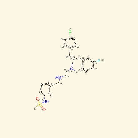 CS(=O)(=O)Nc1cccc(CNCCN2Cc3ccc(F)cc3CC2Cc2ccc(Cl)cc2)c1